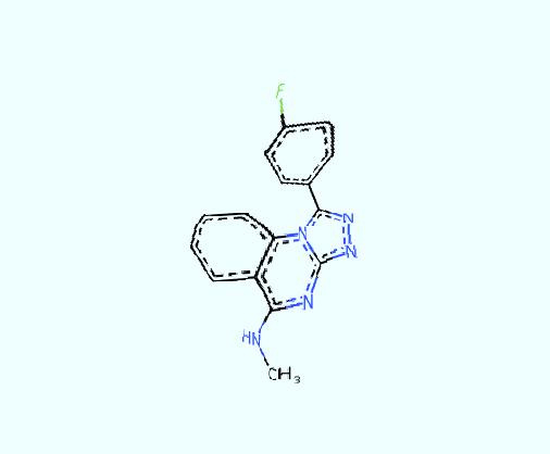 CNc1nc2nnc(-c3ccc(F)cc3)n2c2ccccc12